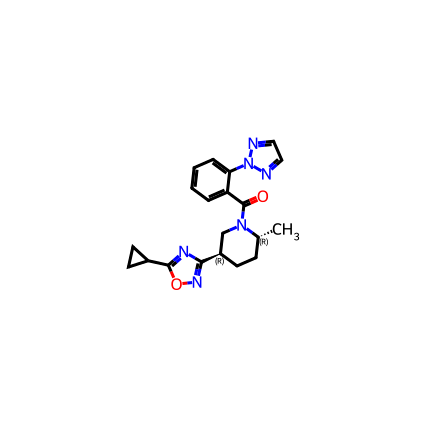 C[C@@H]1CC[C@@H](c2noc(C3CC3)n2)CN1C(=O)c1ccccc1-n1nccn1